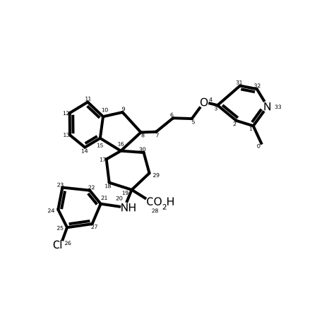 Cc1cc(OCCCC2Cc3ccccc3C23CCC(Nc2cccc(Cl)c2)(C(=O)O)CC3)ccn1